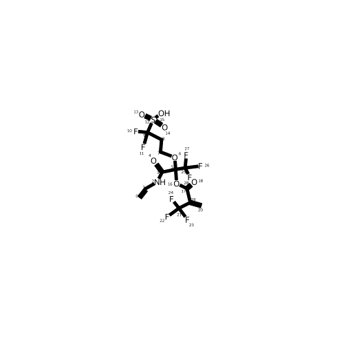 C=CNC(=O)C(OCCC(F)(F)S(=O)(=O)O)(OC(=O)C(=C)C(F)(F)F)C(F)(F)F